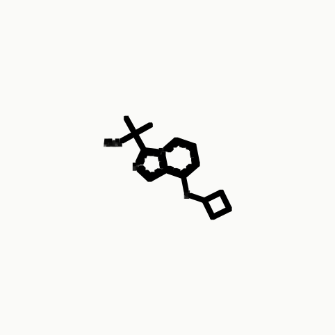 CNC(C)(C)c1ncc2c(SC3CCC3)cccn12